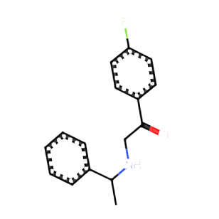 CC(NCC(=O)c1ccc(F)cc1)c1ccccc1